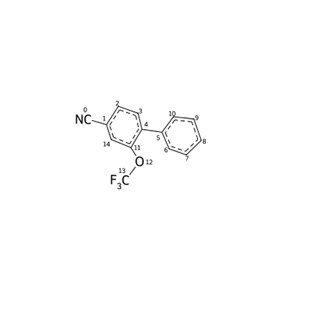 N#Cc1ccc(-c2ccccc2)c(OC(F)(F)F)c1